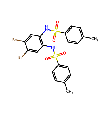 Cc1ccc(S(=O)(=O)Nc2cc(Br)c(Br)cc2NS(=O)(=O)c2ccc(C)cc2)cc1